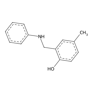 Cc1ccc(O)c(CNc2ccccc2)c1